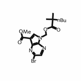 CCCCC(C)(C)C(=O)OCn1cc(C(=O)OC)c2nc(Br)cnc21